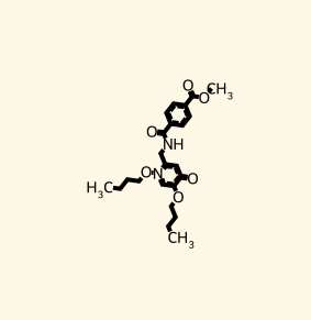 CCCCOc1cn(OCCCC)c(CNC(=O)c2ccc(C(=O)OC)cc2)cc1=O